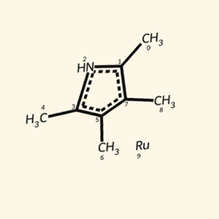 Cc1[nH]c(C)c(C)c1C.[Ru]